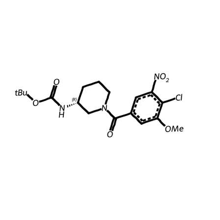 COc1cc(C(=O)N2CCC[C@@H](NC(=O)OC(C)(C)C)C2)cc([N+](=O)[O-])c1Cl